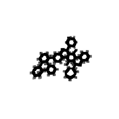 Cc1c2c(-c3cccnc3)nc3cc(-c4cccc(-c5ccccc5)c4-c4ccccc4C=O)ccc3c2c(C)c2c(C3=CC=C=CC=C3)nc3ccccc3c12